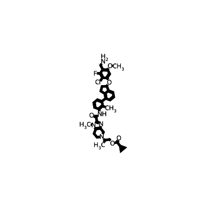 COc1cc(OC2CCc3c(-c4cccc(NC(=O)c5nc6c(n5C)CCN(C(C)COC(=O)C5CC5)C6)c4C)cccc32)c(Cl)c(F)c1CN